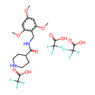 COc1cc(OC)c(CNC(=O)C2CCNCC2)c(OC)c1.O=C(O)C(F)(F)F.O=C(O)C(F)(F)F.O=C(O)C(F)(F)F